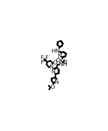 CC(C)Oc1ccc(-c2ccc(C(=O)NS(=O)(=O)c3cccc(Nc4ccccc4)n3)c(N3CCC(C(F)(F)F)CC3)n2)cn1